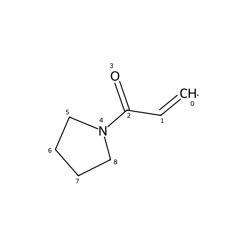 [CH]=CC(=O)N1CCCC1